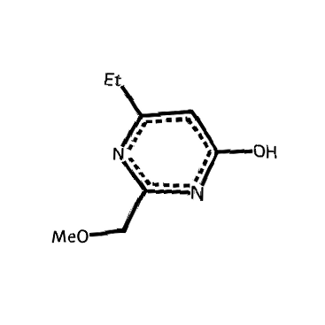 CCc1cc(O)nc(COC)n1